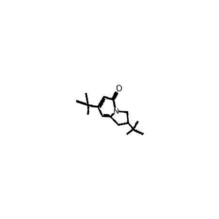 CC(C)(C)c1cc2n(c(=O)c1)CC(C(C)(C)C)C2